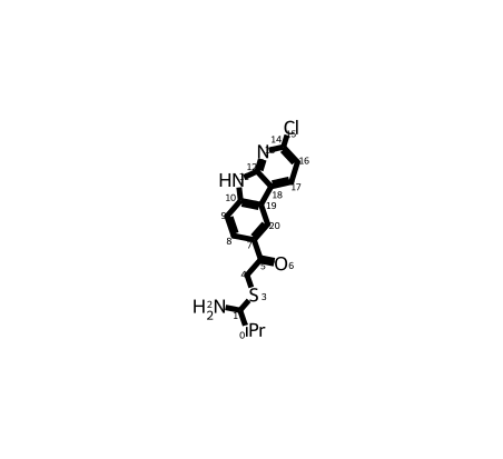 CC(C)C(N)SCC(=O)c1ccc2[nH]c3nc(Cl)ccc3c2c1